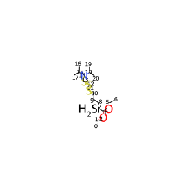 CCOC(OCC)[SiH2]CCCSSSN(C(C)C)C(C)C